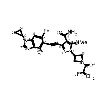 C=C(F)C(=O)N1CC(n2nc(C#Cc3c(F)cc4c(ncn4C4CC4)c3F)c(C(N)=O)c2NC)C1